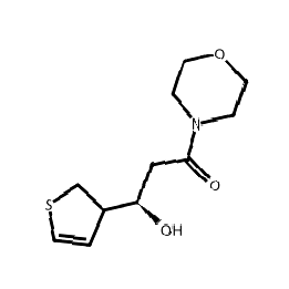 O=C(C[C@@H](O)C1C=CSC1)N1CCOCC1